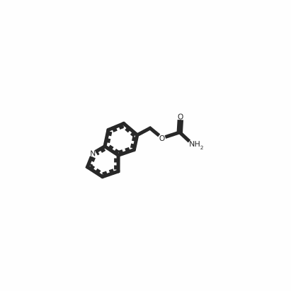 NC(=O)OCc1ccc2ncccc2c1